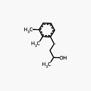 Cc1cccc([CH]CC(C)O)c1C